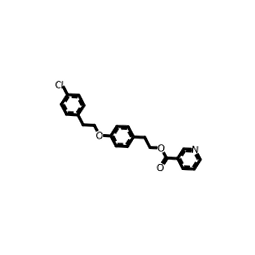 O=C(OCCc1ccc(OCCc2ccc(Cl)cc2)cc1)c1cccnc1